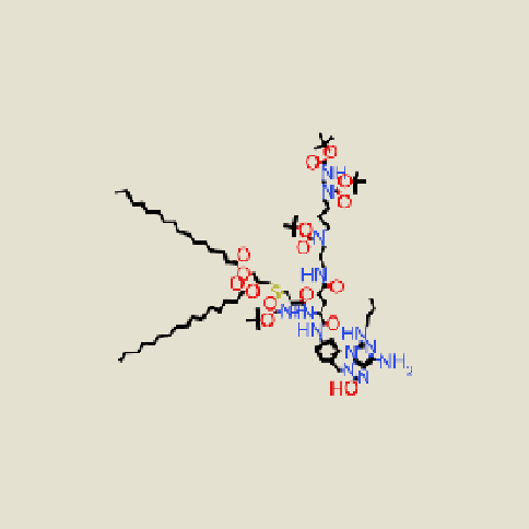 CCCCCCCCCCCCCCCC(=O)OCC(CSC[C@H](NC(=O)OC(C)(C)C)C(=O)N[C@@H](CCC(=O)NCCCN(CCCCN(CNC(=O)OC(C)(C)C)C(=O)OC(C)(C)C)C(=O)OC(C)(C)C)C(=O)Nc1ccc(Cn2c(O)nc3c(N)nc(NCCCC)nc32)cc1)OC(=O)CCCCCCCCCCCCCCC